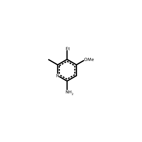 CCc1c(OC)cc(N)nc1C